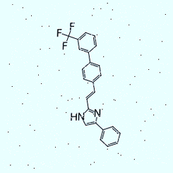 FC(F)(F)c1cccc(-c2ccc(C=Cc3nc(-c4ccccc4)c[nH]3)cc2)c1